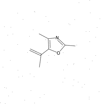 C=C(C)c1oc(C)nc1C